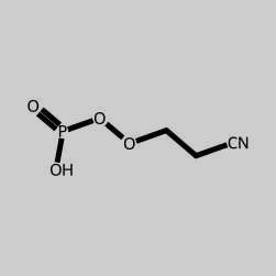 N#CCCOO[P](=O)O